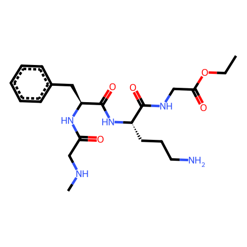 CCOC(=O)CNC(=O)[C@H](CCCN)NC(=O)[C@H](Cc1ccccc1)NC(=O)CNC